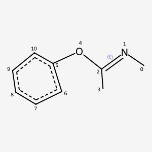 C/N=C(\C)Oc1ccccc1